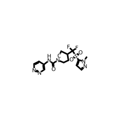 Cn1nccc1S(=O)(=O)C(F)(F)C1CCN(C(=O)Nc2ccnnc2)CC1